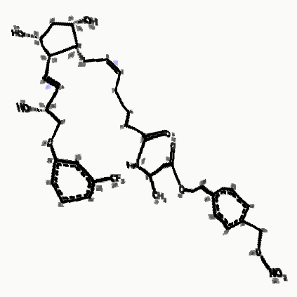 CC(NC(=O)CCC/C=C\C[C@@H]1[C@@H](/C=C/[C@@H](O)COc2cccc(C(F)(F)F)c2)[C@H](O)C[C@@H]1O)C(=O)OCc1ccc(CO[N+](=O)[O-])cc1